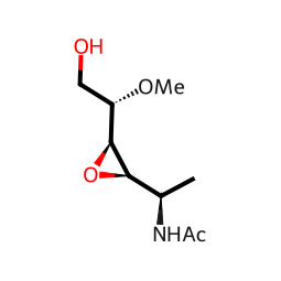 CO[C@@H](CO)[C@@H]1O[C@@H]1[C@@H](C)NC(C)=O